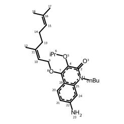 CCCCn1c(=O)c(OC(C)C)c(OCC=C(C)CCC=C(C)C)c2ccc(N)cc21